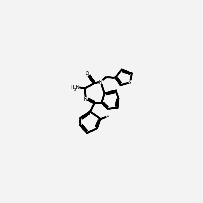 NC1N=C(c2ccccc2F)c2ccccc2N(Cc2ccsc2)C1=O